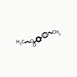 CCCCOC(=O)c1ccc(N2CCN(CCC)CC2)cc1